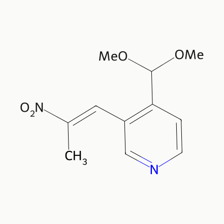 COC(OC)c1ccncc1/C=C(\C)[N+](=O)[O-]